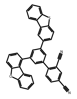 N#Cc1ccc(-c2cc(-c3ccc4sc5ccccc5c4c3)cc(-c3cccc4oc5ccccc5c34)c2)c(C#N)c1